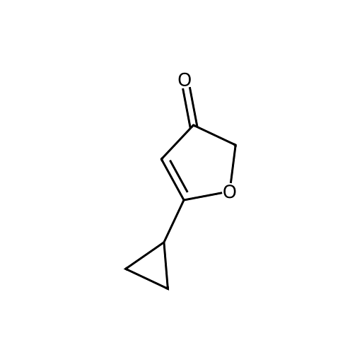 O=C1C=C(C2CC2)OC1